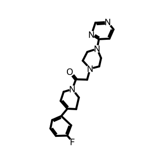 O=C(CN1CCN(c2ccncn2)CC1)N1CC=C(c2cccc(F)c2)CC1